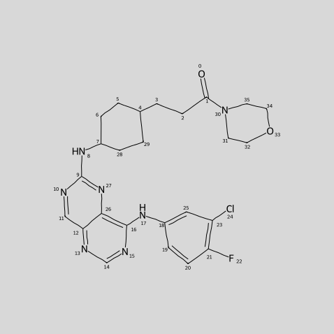 O=C(CCC1CCC(Nc2ncc3ncnc(Nc4ccc(F)c(Cl)c4)c3n2)CC1)N1CCOCC1